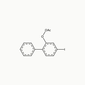 CC(=O)OOc1cc(I)ccc1-c1ccccc1